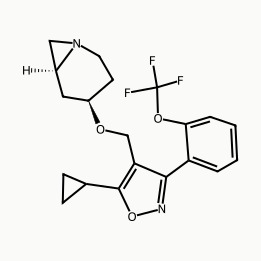 FC(F)(F)Oc1ccccc1-c1noc(C2CC2)c1CO[C@@H]1CCN2C[C@@H]2C1